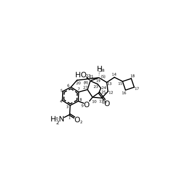 NC(=O)c1ccc2c3c1OC14CCC(CC5CCC5)[C@H](C2)[C@](O)(CCC1=O)C34